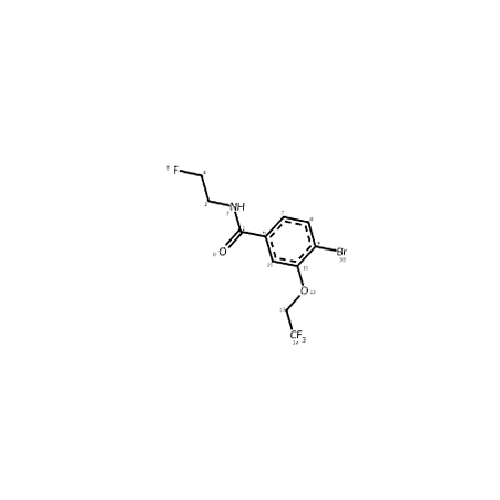 O=C(NCCF)c1ccc(Br)c(OCC(F)(F)F)c1